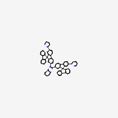 c1ccc(-c2ccc3c(c2)C2(c4ccccc4-c4ccccc42)c2cc(-c4nc5ccccc5nc4-c4ccc5c(c4)C4(c6ccccc6-c6ccccc64)c4cc(-c6ccccn6)ccc4-5)ccc2-3)nc1